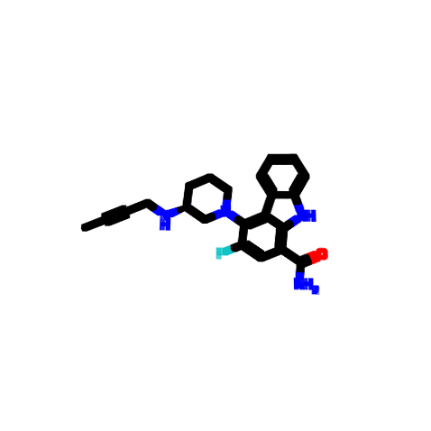 CC#CCN[C@H]1CCCN(c2c(F)cc(C(N)=O)c3[nH]c4ccccc4c23)C1